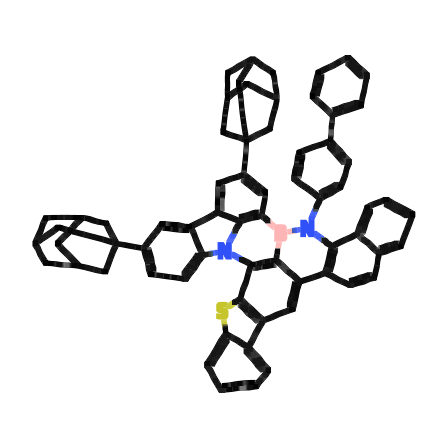 c1ccc(-c2ccc(N3B4c5c(cc6c(sc7ccccc76)c5-n5c6ccc(C78CC9CC(CC(C9)C7)C8)cc6c6cc(C78CC9CC(CC(C9)C7)C8)cc4c65)-c4ccc5ccccc5c43)cc2)cc1